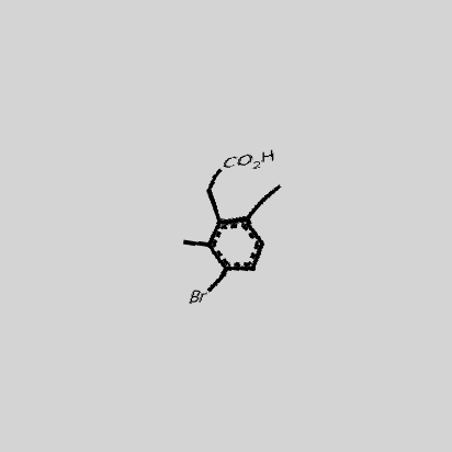 Cc1ccc(Br)c(C)c1CC(=O)O